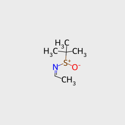 C/C=N\[S+]([O-])C(C)(C)C